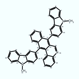 Cn1c2ccccc2c2cc(-c3c4ccccc4c(-c4ccc5c(c4)c4ccccc4n5C)c4c3cnc3ccccc34)ccc21